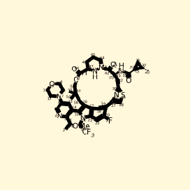 CO[C@@H](C)c1ncc(N2CCOCC2)cc1-c1c2c3cc(c(F)cc3n1CC(F)(F)F)-c1csc(n1)C[C@H](NC(=O)[C@H]1C[C@@H]1C)C(=O)N1CCC[C@H](N1)C(=O)OCC(C)(C)C2